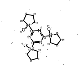 [O-][N+]1(c2nc([N+]3([O-])CCCC3)nc([N+]3([O-])CCCC3)n2)CCCC1